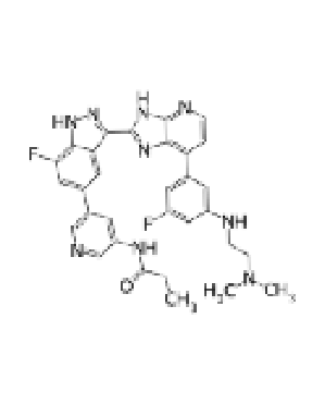 CCC(=O)Nc1cncc(-c2cc(F)c3[nH]nc(-c4nc5c(-c6cc(F)cc(NCCN(C)C)c6)ccnc5[nH]4)c3c2)c1